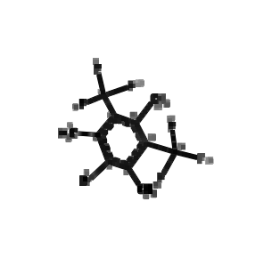 Cc1c(Br)c(C)c(C(F)(F)F)c(C)c1C(F)(F)F